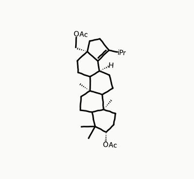 CC(=O)OC[C@]12CCC(C(C)C)=C1[C@H]1CCC3[C@@](C)(CCC4C(C)(C)[C@@H](OC(C)=O)CC[C@@]43C)C1CC2